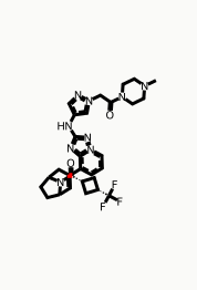 CN1CCN(C(=O)Cn2cc(Nc3nc4c(C5=CC6CCC(C5)N6C(=O)[C@H]5C[C@@H](C(F)(F)F)C5)cccn4n3)cn2)CC1